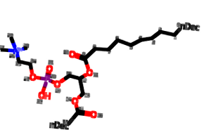 CCCCCCCCCCCCCCCCCCC(=O)OC(COC(=O)CCCCCCCCCC)COP(=O)(O)OCC[N+](C)(C)C